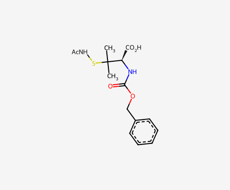 CC(=O)NSC(C)(C)[C@H](NC(=O)OCc1ccccc1)C(=O)O